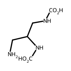 NCC(CNC(=O)O)NC(=O)O